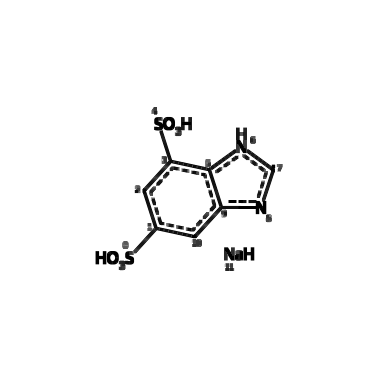 O=S(=O)(O)c1cc(S(=O)(=O)O)c2[nH][c]nc2c1.[NaH]